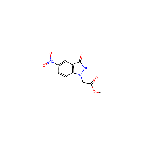 COC(=O)Cn1[nH]c(=O)c2cc([N+](=O)[O-])ccc21